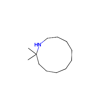 CC1(C)CCCCCCCCCN1